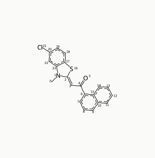 CN1C(=CC(=O)c2cccc3ccccc23)Sc2ccc(Cl)cc21